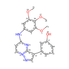 COc1cc(Nc2ccn3ncc(-c4cccc(O)c4)c3n2)cc(OC)c1OC